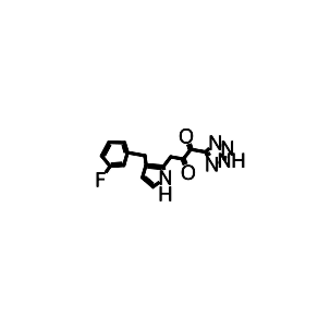 O=C(Cc1[nH]ccc1Cc1cccc(F)c1)C(=O)c1nn[nH]n1